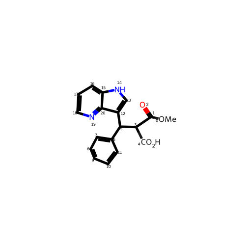 COC(=O)C(C(=O)O)C(c1ccccc1)c1c[nH]c2cccnc12